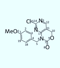 COc1ccc(CN2C(=O)OCc3cnc(Cl)nc32)cc1